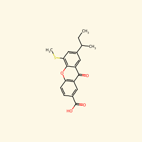 CCC(C)c1cc(SC)c2oc3ccc(C(=O)O)cc3c(=O)c2c1